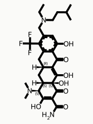 CCN(CCC(C)C)Cc1cc(O)c2c(c1C(F)(F)F)C[C@H]1C[C@H]3[C@H](N(C)C)C(O)=C(C(N)=O)C(=O)[C@@]3(O)C(O)=C1C2=O